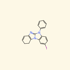 Ic1ccc2c(c1)n1c3c(nc1n2-c1ccccc1)C=CCC3